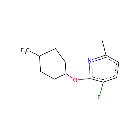 Cc1ccc(F)c(OC2CCC(C(F)(F)F)CC2)n1